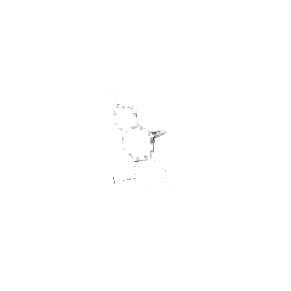 COCCn1c(C(F)F)nc2sc(SC)nc2c1=O